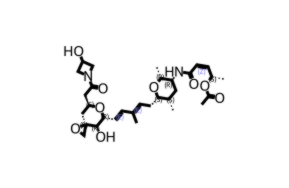 CC(=O)O[C@@H](C)/C=C\C(=O)N[C@@H]1C[C@H](C)[C@H](C/C=C(C)/C=C/[C@H]2O[C@H](CC(=O)N3CC(O)C3)C[C@@]3(CO3)[C@@H]2O)O[C@@H]1C